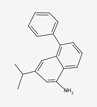 CC(C)c1cc(N)c2cccc(-c3ccccc3)c2c1